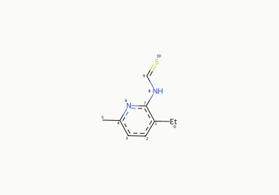 CCc1ccc(C)nc1NC=S